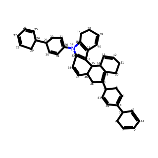 C1=CCC(C2=CCC(C3=C4CCC=CC4C4c5c6c(n(C7=CCC(C8C=CC=CC8)C=C7)c5C=CC4C3)CCC=C6)C=C2)C=C1